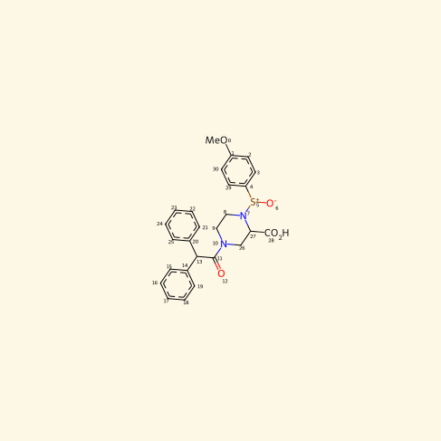 COc1ccc([S+]([O-])N2CCN(C(=O)C(c3ccccc3)c3ccccc3)CC2C(=O)O)cc1